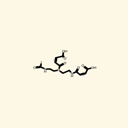 O=C(O)/C=C\C(=O)NCCN(CCNC(=O)I)C(=O)/C=C\C(=O)O